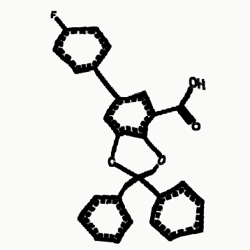 O=C(O)c1cc(-c2ccc(F)cc2)cc2c1OC(c1ccccc1)(c1ccccc1)O2